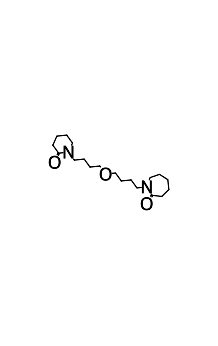 O=C1CCCCCN1CCCCOCCCCN1CCCCC1=O